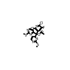 CSc1nccc(C(OC(C)=O)(c2ccnc(SC)n2)c2cc(F)c(Cl)nc2Cl)n1